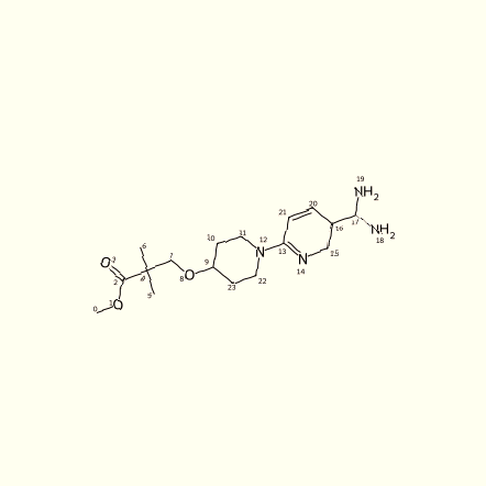 COC(=O)C(C)(C)COC1CCN(C2=NCC(C(N)N)C=C2)CC1